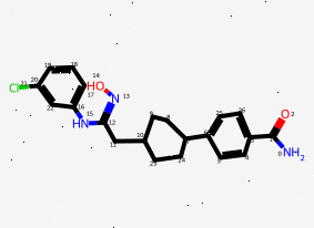 NC(=O)c1ccc(C2CCC(CC(=NO)Nc3cccc(Cl)c3)CC2)cc1